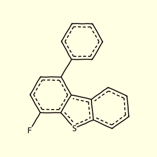 Fc1ccc(-c2ccccc2)c2c1sc1ccccc12